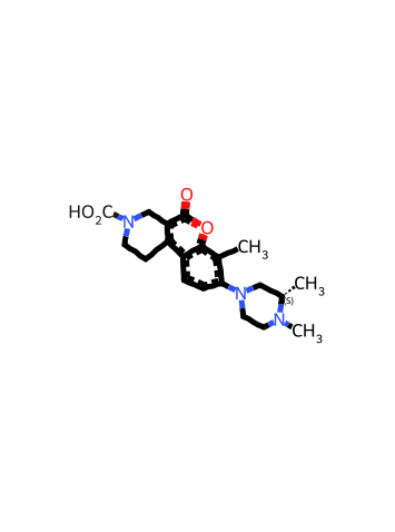 Cc1c(N2CCN(C)[C@@H](C)C2)ccc2c3c(c(=O)oc12)CN(C(=O)O)CC3